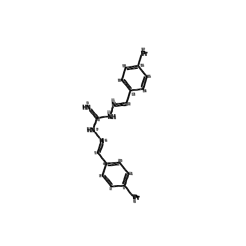 CC(C)c1ccc(/C=N/NC(=N)N/N=C/c2ccc(C(C)C)cc2)cc1